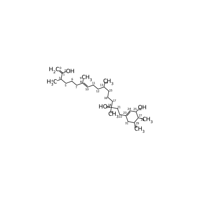 C=C(O)C(C)CCC/C(C)=C/CCC(C)CCCC(C)(O)CCC1=CC(O)C(C)C(C)C1